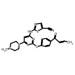 C/C=C/C(=O)c1ccc(Oc2nc(Nc3ncc(C#N)s3)cc(N3CCN(C)CC3)n2)cc1